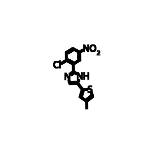 Cc1csc(-c2cnc(-c3cc([N+](=O)[O-])ccc3Cl)[nH]2)c1